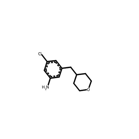 Nc1cc(Cl)cc(CC2CCOCC2)c1